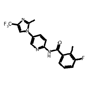 Cc1c(F)cccc1C(=O)Nc1ccc(-n2cc(C(F)(F)F)nc2C)cn1